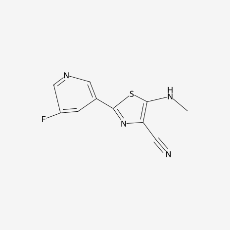 CNc1sc(-c2cncc(F)c2)nc1C#N